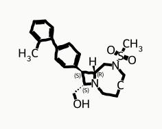 Cc1ccccc1-c1ccc([C@@H]2[C@@H](CO)N3CCCCN(S(C)(=O)=O)C[C@@H]23)cc1